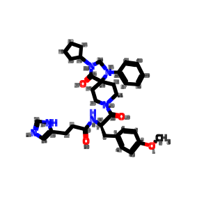 COc1ccc(C[C@@H](NC(=O)CCc2cnc[nH]2)C(=O)N2CCC3(CC2)C(=O)N(C2CCCC2)CN3c2ccccc2)cc1